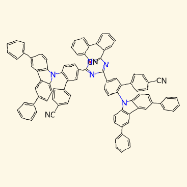 N#Cc1ccc(-c2cc(-c3nc(-c4ccc(-n5c6ccc(-c7ccccc7)cc6c6cc(-c7ccccc7)ccc65)c(-c5ccc(C#N)cc5)c4)nc(-c4ccccc4-c4ccccc4C#N)n3)ccc2-n2c3ccc(-c4ccccc4)cc3c3cc(-c4ccccc4)ccc32)cc1